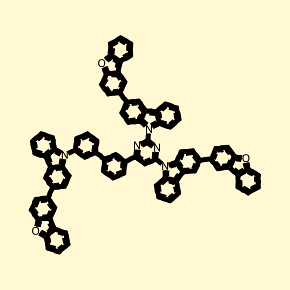 c1cc(-c2cccc(-n3c4ccccc4c4cc(-c5ccc6oc7ccccc7c6c5)ccc43)c2)cc(-c2cc(-n3c4ccccc4c4cc(-c5ccc6oc7ccccc7c6c5)ccc43)nc(-n3c4ccccc4c4cc(-c5ccc6oc7ccccc7c6c5)ccc43)n2)c1